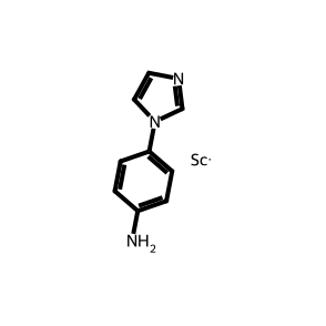 Nc1ccc(-n2ccnc2)cc1.[Sc]